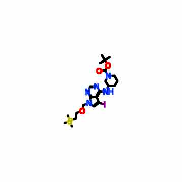 CC(C)(C)OC(=O)N1CCC[C@@H](Nc2ncnc3c2c(I)cn3COCCS(C)(C)C)C1